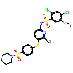 Cc1cc(S(=O)(=O)Nc2ccc(Sc3ccc(S(=O)(=O)N4CCCCC4)cc3)c(C)n2)c(Cl)cc1Cl